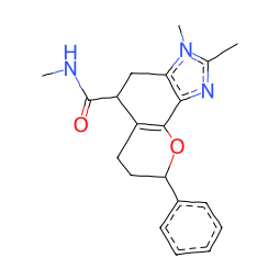 CNC(=O)C1Cc2c(nc(C)n2C)C2=C1CCC(c1ccccc1)O2